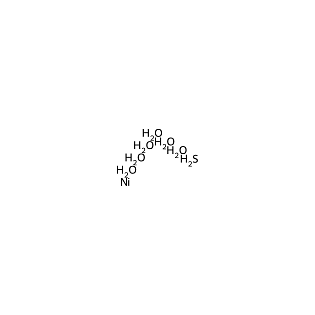 O.O.O.O.O.O.S.[Ni]